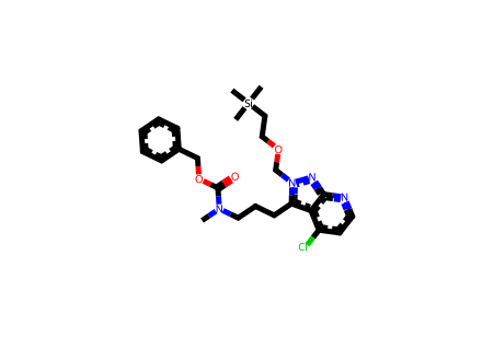 CN(CCCc1c2c(Cl)ccnc2nn1COCC[Si](C)(C)C)C(=O)OCc1ccccc1